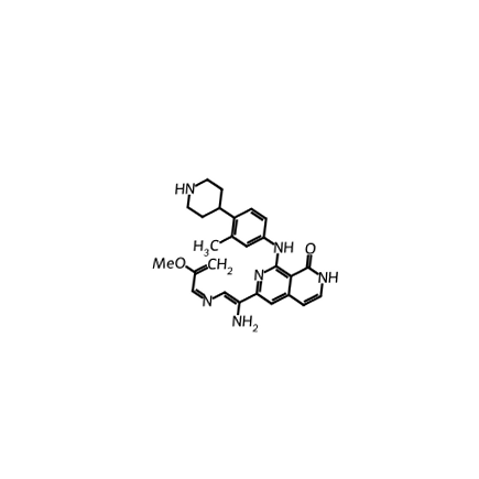 C=C(/C=N\C=C(/N)c1cc2cc[nH]c(=O)c2c(Nc2ccc(C3CCNCC3)c(C)c2)n1)OC